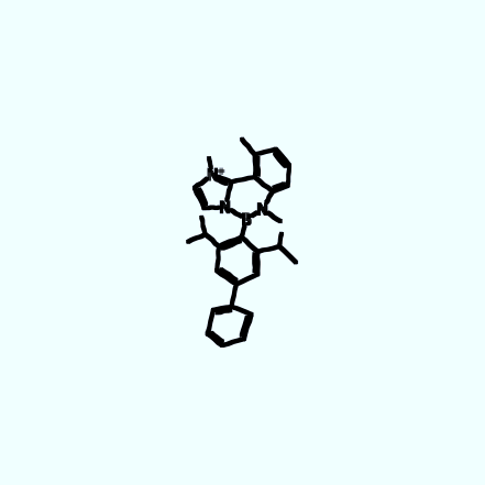 Cc1cccc2c1-c1n(cc[n+]1C)B(c1c(C(C)C)cc(-c3ccccc3)cc1C(C)C)N2C